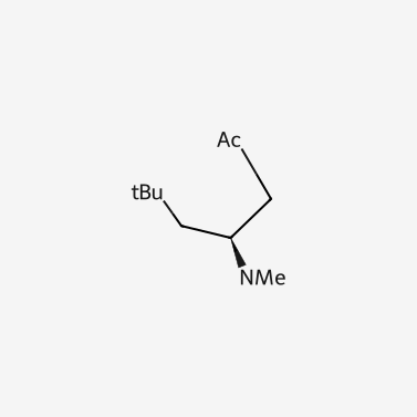 CN[C@H](CC(C)=O)CC(C)(C)C